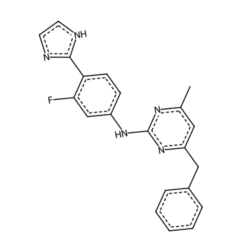 Cc1cc(Cc2ccccc2)nc(Nc2ccc(-c3ncc[nH]3)c(F)c2)n1